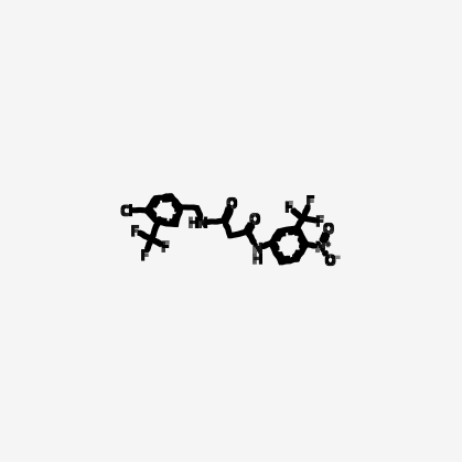 O=C(CC(=O)Nc1ccc([N+](=O)[O-])c(C(F)(F)F)c1)NCc1ccc(Cl)c(C(F)(F)F)c1